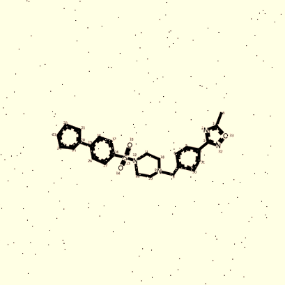 Cc1nc(-c2ccc(CN3CCN(S(=O)(=O)c4ccc(-c5ccccc5)cc4)CC3)cc2)no1